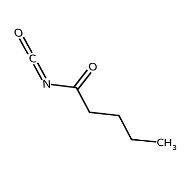 CCCCC(=O)N=C=O